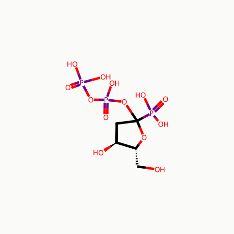 O=P(O)(O)OP(=O)(O)OC1(P(=O)(O)O)C[C@H](O)[C@@H](CO)O1